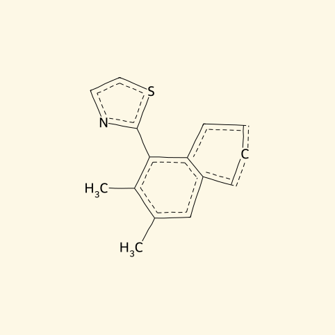 Cc1cc2ccccc2c(-c2nccs2)c1C